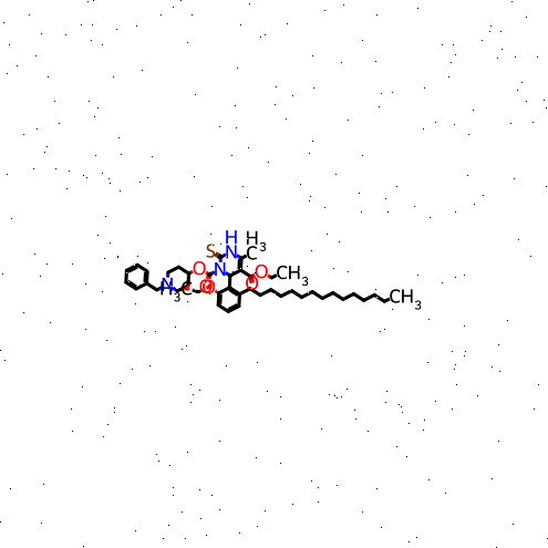 CCCCCCCCCCCCCCCc1cccc(OCC)c1C1C(C(=O)OCC)=C(C)NC(=S)N1C(=O)OC1CCN(Cc2ccccc2)CC1